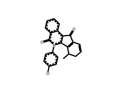 CC1CC=CC2=C1c1c(c3ccccc3c(=O)n1-c1ccc(Cl)cc1)C2=O